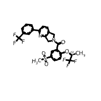 C[C@H](Oc1ccc(S(C)(=O)=O)cc1C(=O)N1Cc2ccc(-c3cccc(C(F)(F)F)c3)nc2C1)C(F)(F)F